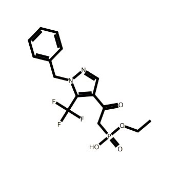 CCOP(=O)(O)CC(=O)c1cnn(Cc2ccccc2)c1C(F)(F)F